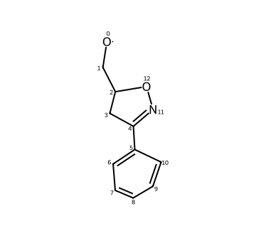 [O]CC1CC(c2ccccc2)=NO1